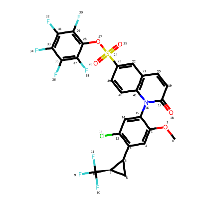 COc1cc(C2C[C@H]2C(F)(F)F)c(Cl)cc1-n1c(=O)ccc2cc(S(=O)(=O)Oc3c(F)c(F)c(F)c(F)c3F)ccc21